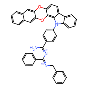 N/C(=N\C(=N/Cc1ccccc1)c1ccccc1)c1ccc(-n2c3ccccc3c3ccc4c(c32)Oc2cc3ccccc3cc2O4)cc1